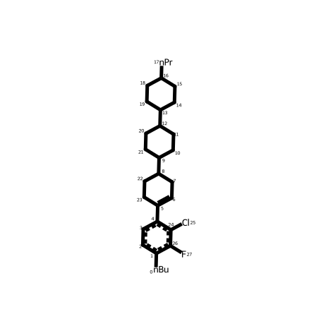 CCCCc1ccc(C2=CCC(C3CCC(C4CCC(CCC)CC4)CC3)CC2)c(Cl)c1F